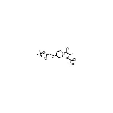 CC(NC(=O)O)C(=O)N1CCC(OCC(=O)OC(C)(C)C)CC1